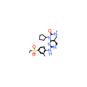 CCS(=O)(=O)c1ccc(Nc2ncc3c(n2)N(C2CCCC2)C(=O)N(C)C3)c(C)c1